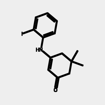 CC1(C)CC(=O)C=C(Nc2ccccc2I)C1